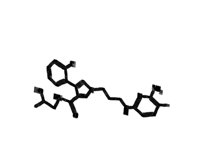 Cc1ccc(NCCCn2cc(C(=O)NCC(C)O)c(-c3ccccc3Cl)c2)nc1N